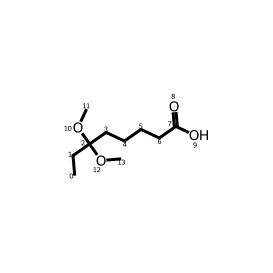 CCC(CCCCC(=O)O)(OC)OC